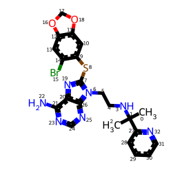 CC(C)(NCCn1c(Sc2cc3c(cc2Br)OCO3)nc2c(N)ncnc21)c1ccccn1